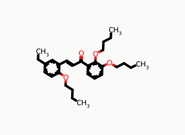 CCCCOc1ccc(CC)cc1/C=C/C(=O)c1cccc(OCCCC)c1OCCCC